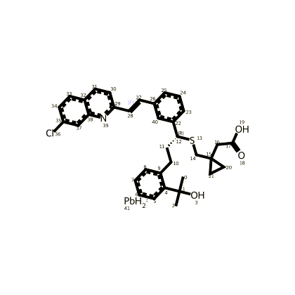 CC(C)(O)c1ccccc1CC[C@@H](SCC1(CC(=O)O)CC1)c1cccc(/C=C/c2ccc3ccc(Cl)cc3n2)c1.[PbH2]